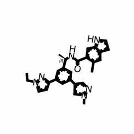 CCn1ccc(-c2cc(-c3cnn(C)c3)cc([C@@H](C)NC(=O)c3cc4[nH]ccc4cc3C)c2)n1